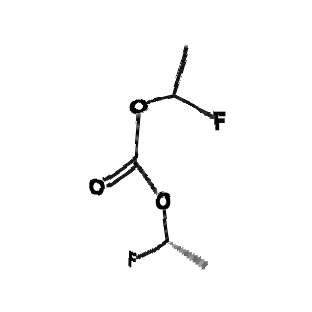 CC(F)OC(=O)O[C@H](C)F